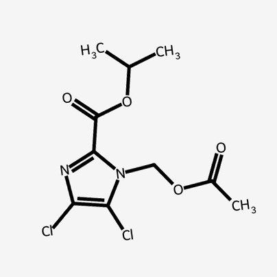 CC(=O)OCn1c(C(=O)OC(C)C)nc(Cl)c1Cl